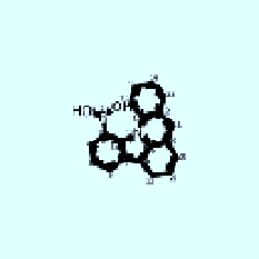 OB(O)c1cccc2c3c4c(cc5ccccc5n4c12)C=CC3